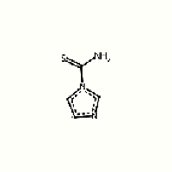 NC(=S)n1c[c]nc1